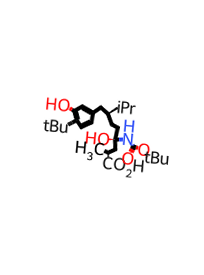 CC(C)[C@@H](CC[C@](O)(C[C@@H](C)C(=O)O)NC(=O)OC(C)(C)C)Cc1ccc(C(C)(C)C)c(O)c1